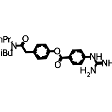 CCCN(C(=O)Cc1ccc(OC(=O)c2ccc(NC(=N)N)cc2)cc1)C(C)CC